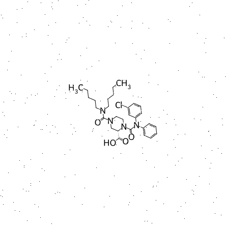 CCCCCN(CCCCC)C(=O)N1CCN(C(=O)N(c2ccccc2)c2cccc(Cl)c2)[C@H](C(=O)O)C1